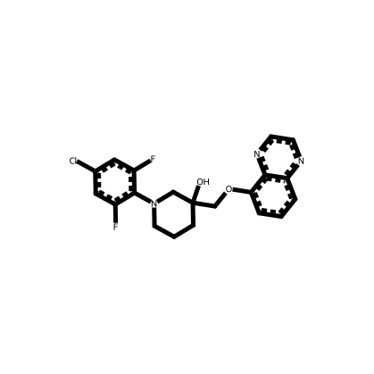 OC1(COc2cccc3nccnc23)CCCN(c2c(F)cc(Cl)cc2F)C1